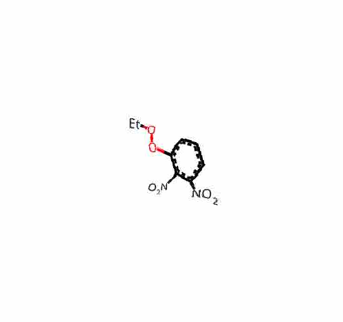 CCOOc1cccc([N+](=O)[O-])c1[N+](=O)[O-]